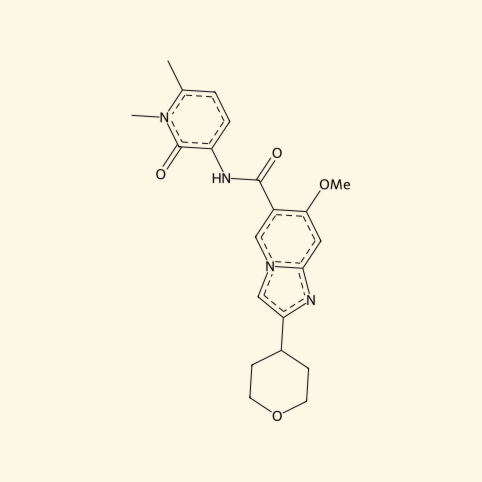 COc1cc2nc(C3CCOCC3)cn2cc1C(=O)Nc1ccc(C)n(C)c1=O